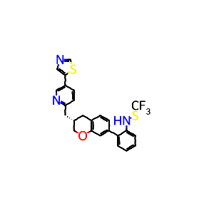 FC(F)(F)SNc1ccccc1-c1ccc2c(c1)OC[C@H](Cc1ccc(-c3cncs3)cn1)C2